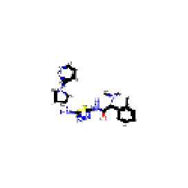 Cc1ccccc1[C@@H](C(=O)Nc1nnc(N[C@@H]2CCN(c3cccnn3)C2)s1)N(C)C